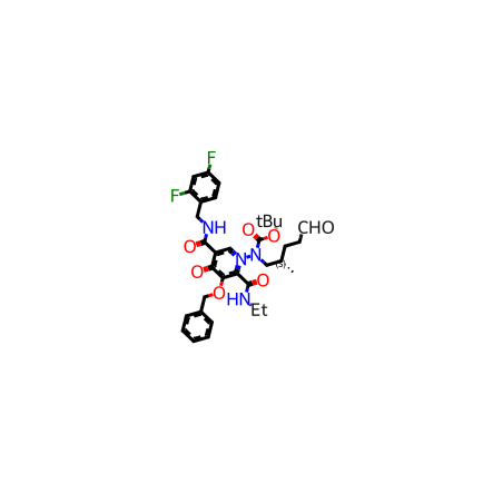 CCNC(=O)c1c(OCc2ccccc2)c(=O)c(C(=O)NCc2ccc(F)cc2F)cn1N(C[C@@H](C)CCC=O)C(=O)OC(C)(C)C